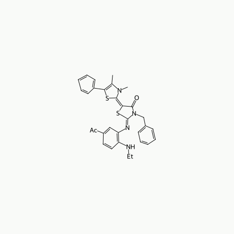 CCNc1ccc(C(C)=O)cc1N=C1SC(=C2SC(c3ccccc3)=C(C)N2C)C(=O)N1Cc1ccccc1